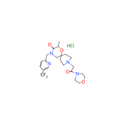 CC1OC2(CCN(CC(=O)N3CCOCC3)CC2)CN(Cc2ccc(C(F)(F)F)cn2)C1=O.Cl